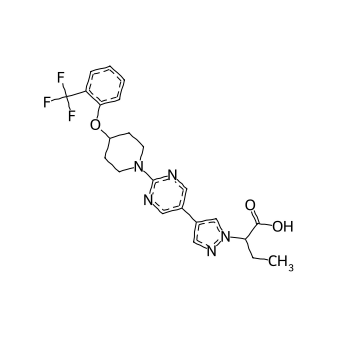 CCC(C(=O)O)n1cc(-c2cnc(N3CCC(Oc4ccccc4C(F)(F)F)CC3)nc2)cn1